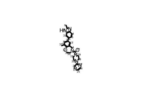 Cc1nc2ccc(-c3cc(C)c4c(c3)CN(C(=O)N3CCN(c5cnccn5)CC3)CCO4)cc2[nH]1